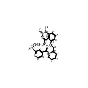 CNc1cc(C(=O)N2CCCCC2COc2cccc3c2C(N)=N[S+]([O-])N3)ccn1